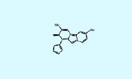 C=c1c(C(C)(C)C)cc2c(c1C1=CC=CC1)[C]=c1ccc(C(C)(C)C)cc1=2